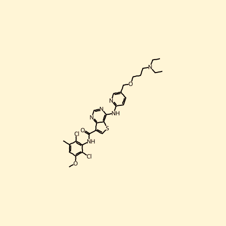 CCN(CC)CCCOCc1ccc(Nc2ncnc3c(C(=O)Nc4c(Cl)c(C)cc(OC)c4Cl)csc23)nc1